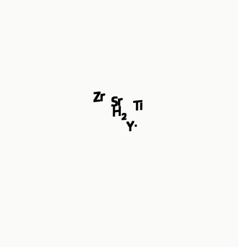 [SrH2].[Ti].[Y].[Zr]